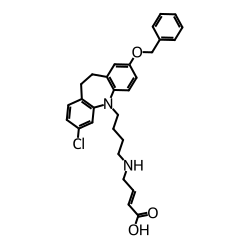 O=C(O)/C=C/CNCCCCN1c2ccc(OCc3ccccc3)cc2CCc2ccc(Cl)cc21